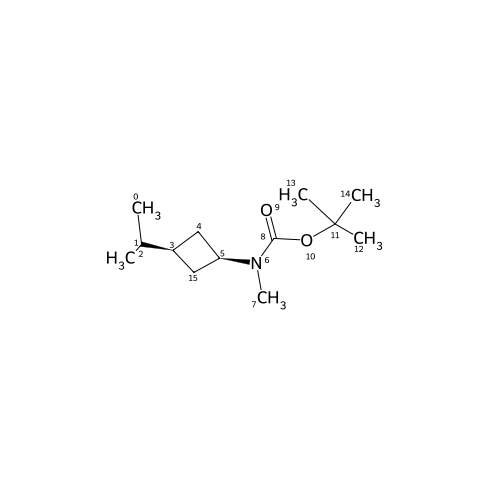 CC(C)[C@H]1C[C@@H](N(C)C(=O)OC(C)(C)C)C1